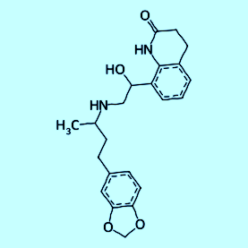 CC(CCc1ccc2c(c1)OCO2)NCC(O)c1cccc2c1NC(=O)CC2